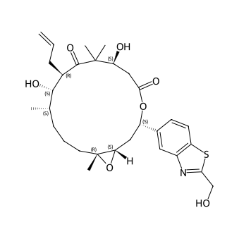 C=CC[C@H]1C(=O)C(C)(C)[C@@H](O)CC(=O)O[C@H](c2ccc3sc(CO)nc3c2)C[C@@H]2O[C@]2(C)CCC[C@H](C)[C@@H]1O